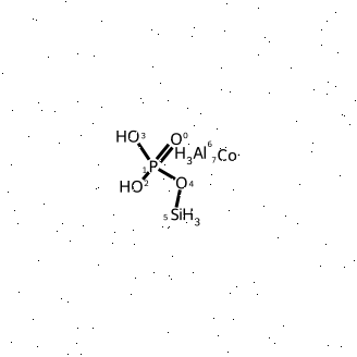 O=P(O)(O)O[SiH3].[AlH3].[Co]